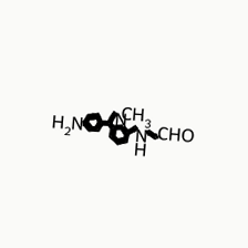 CN1CC(c2ccc(N)cc2)c2cccc(CNCCC=O)c21